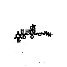 Cc1cc(C)c(NC(=O)CC[C@H](NC(=O)OC(C)(C)C)C(=O)NCCOCCN=[N+]=[N-])c(C)c1Br